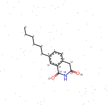 CCCCCCc1ccc2c(c1)C(=O)NC(=O)C2